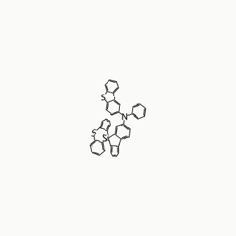 c1ccc(N(c2ccc3c(c2)[Si]2(c4ccccc4Sc4ccccc42)c2ccccc2-3)c2ccc3sc4ccccc4c3c2)cc1